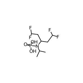 CC(C)N(C(CC(F)F)CC(F)F)P(=O)(O)O